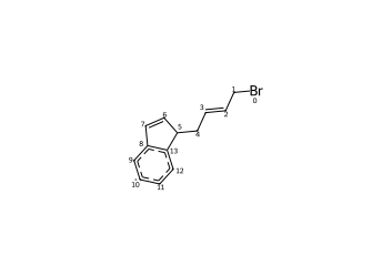 BrCC=CCC1C=Cc2c[c]ccc21